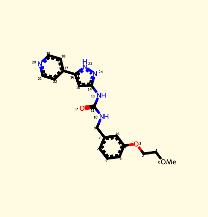 COCCOc1cccc(CNC(=O)Nc2cc(-c3ccncc3)[nH]n2)c1